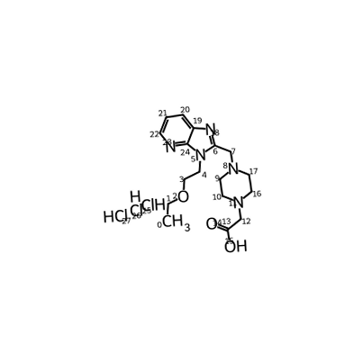 CCOCCn1c(CN2CCN(CC(=O)O)CC2)nc2cccnc21.Cl.Cl.Cl